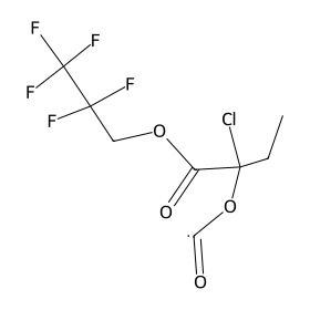 CCC(Cl)(O[C]=O)C(=O)OCC(F)(F)C(F)(F)F